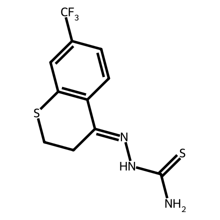 NC(=S)NN=C1CCSc2cc(C(F)(F)F)ccc21